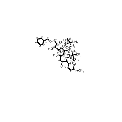 COC(=O)/C=C\[C@H](C)[C@H](O[Si](C)(C)C(C)(C)C)[C@@H](C)/C=C(/C)C[C@H](C)[C@@H](O[Si](C)(C)C(C)(C)C)[C@H](C)[C@@H](O)[C@@H](C)COCc1ccccc1